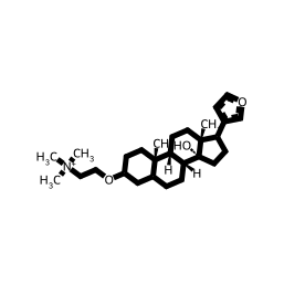 C[C@]12CCC(OCC[N+](C)(C)C)CC1CC[C@@H]1[C@H]2CC[C@]2(C)C(c3ccoc3)CC[C@@]12O